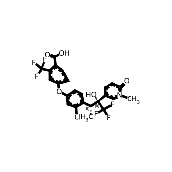 C[C@H](c1ccc(Oc2ccc(C(=O)O)c(C(F)(F)F)c2)cc1Cl)[C@@](O)(c1ccc(=O)n(C)c1)C(F)(F)F